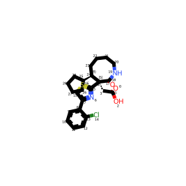 O=C(O)C[C@@]1(c2nc(-c3ccccc3Cl)cs2)C(=O)NCCCC[C@@H]1C1CCCC1